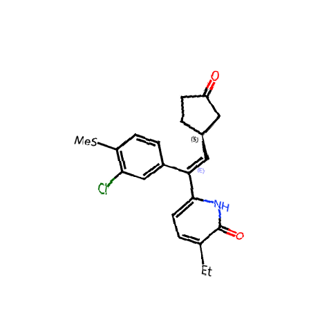 CCc1ccc(/C(=C/[C@H]2CCC(=O)C2)c2ccc(SC)c(Cl)c2)[nH]c1=O